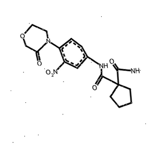 [NH]C(=O)C1(C(=O)Nc2ccc(N3CCOCC3=O)c([N+](=O)[O-])c2)CCCC1